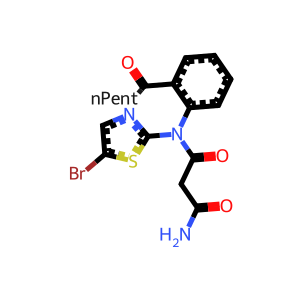 CCCCCC(=O)c1ccccc1N(C(=O)CC(N)=O)c1ncc(Br)s1